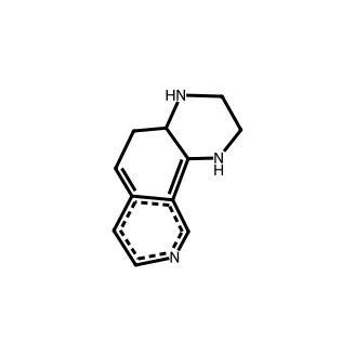 C1=c2ccncc2=C2NCCNC2C1